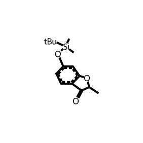 CC1Oc2cc(O[Si](C)(C)C(C)(C)C)ccc2C1=O